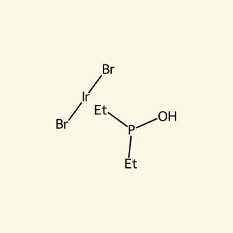 CCP(O)CC.[Br][Ir][Br]